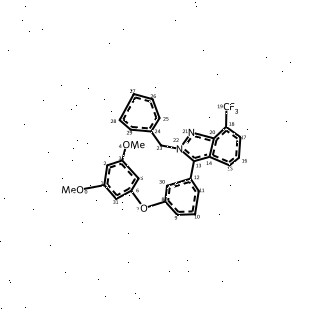 COc1cc(OC)cc(Oc2cccc(-c3c4cccc(C(F)(F)F)c4nn3Cc3ccccc3)c2)c1